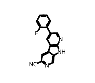 N#Cc1cc2c(cn1)[nH]c1ncc(-c3ccccc3F)cc12